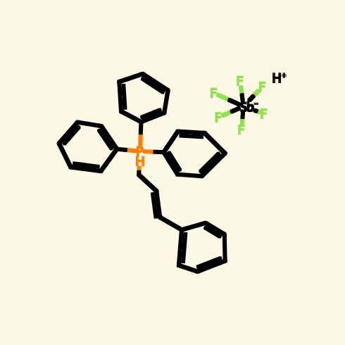 C(=Cc1ccccc1)C[PH](c1ccccc1)(c1ccccc1)c1ccccc1.[F][Sb-]([F])([F])([F])([F])[F].[H+]